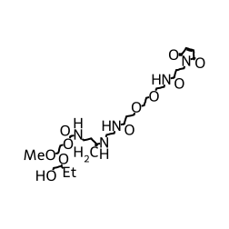 C=C(CCNC(=O)OCC(OC)OC(CC)CO)NCCNC(=O)CCOCCOCCNC(=O)CCN1C(=O)C=CC1=O